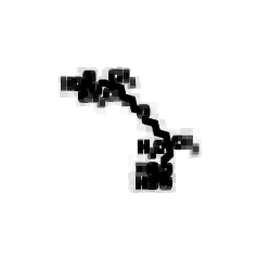 CC(C)(CCCCOCCCCC(C)(C)COP(C)(=O)O)CCOP(=O)(O)O